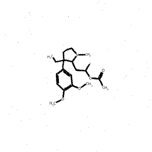 CCC1(c2ccc(OC)c(OC)c2)CCN(C)C1CC(I)OC(C)=O